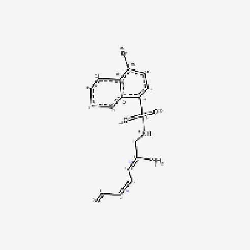 C=C/C=C\C=C(/N)CNS(=O)(=O)c1ccc(Br)c2ccccc12